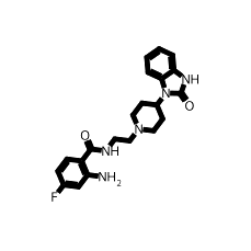 Nc1cc(F)ccc1C(=O)NCCN1CCC(n2c(=O)[nH]c3ccccc32)CC1